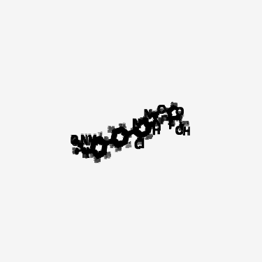 CNS(C)(=O)=Nc1ccc(-c2ccc(-c3nc4nc(O[C@@H]5CO[C@H](CO)C5(F)F)[nH]c4cc3Cl)cc2)cc1